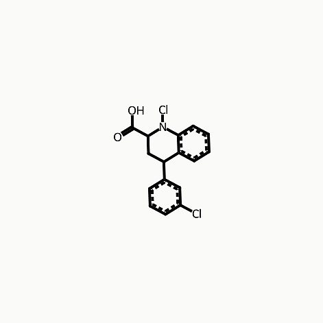 O=C(O)C1CC(c2cccc(Cl)c2)c2ccccc2N1Cl